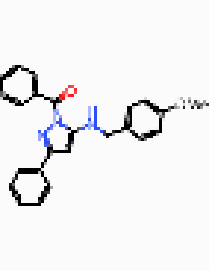 COc1ccc(CNc2cc(-c3ccccc3)nn2C(=O)c2ccccc2)cc1